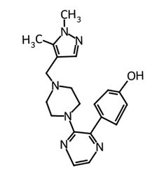 Cc1c(CN2CCN(c3nccnc3-c3ccc(O)cc3)CC2)cnn1C